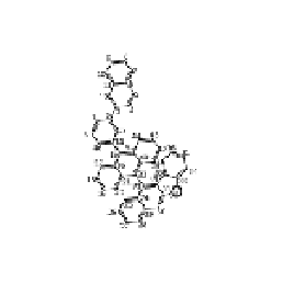 c1cc(-c2ccc3ccccc3c2)cc(-c2c3ccccc3c(-c3c4ccccc4cc4oc5ccccc5c34)c3ccccc23)c1